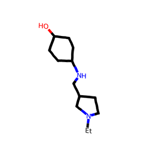 CCN1CCC(CNC2CCC(O)CC2)C1